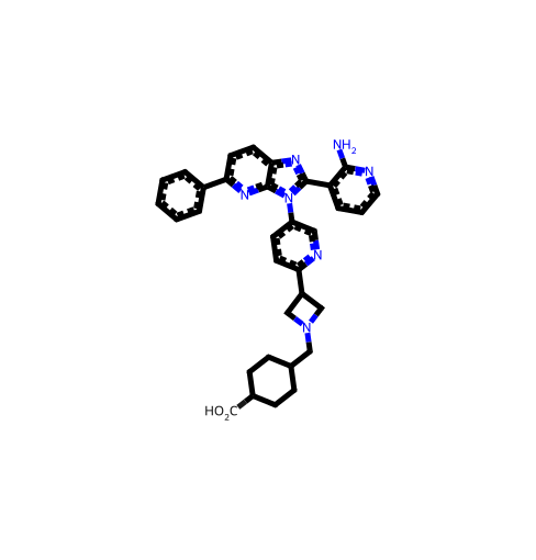 Nc1ncccc1-c1nc2ccc(-c3ccccc3)nc2n1-c1ccc(C2CN(CC3CCC(C(=O)O)CC3)C2)nc1